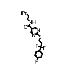 CC(C)CCNC(=O)c1cnc(SCCC(F)(F)c2ccc(F)cc2)nc1